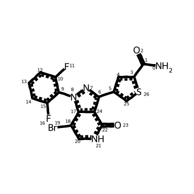 NC(=O)c1cc(-c2nn(-c3c(F)cccc3F)c3c(Br)c[nH]c(=O)c23)cs1